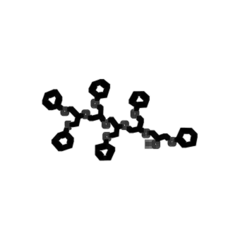 OC(COc1ccccc1)COC(COc1ccccc1)COC(COc1ccccc1)COC(COc1ccccc1)COC(COc1ccccc1)CSc1ccccc1